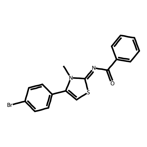 Cn1c(-c2ccc(Br)cc2)csc1=NC(=O)c1ccccc1